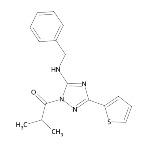 CC(C)C(=O)n1nc(-c2cccs2)nc1NCc1ccccc1